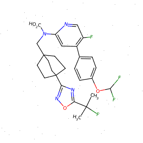 CC(C)(F)c1nc(C23CCC(CN(C(=O)O)c4cc(-c5ccc(OC(F)F)cc5)c(F)cn4)(CC2)CC3)no1